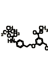 COC(=O)c1cc(CO)cc(OCCc2ccc(NC(=O)OC(C)(C)C)cc2)c1